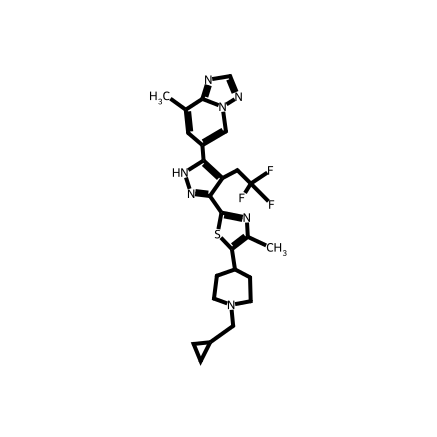 Cc1nc(-c2n[nH]c(-c3cc(C)c4ncnn4c3)c2CC(F)(F)F)sc1C1CCN(CC2CC2)CC1